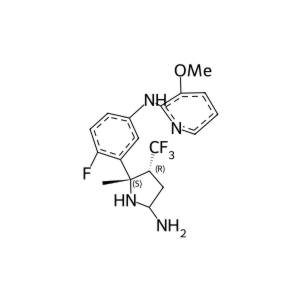 COc1cccnc1Nc1ccc(F)c([C@@]2(C)NC(N)C[C@H]2C(F)(F)F)c1